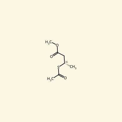 COC(=O)C[C@H](C)SC(C)=O